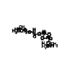 CNC(C)(C)CCOCCOCCNC(=O)c1ccc(-n2nnc3c2-c2ccccc2CN(C(=O)CCC(C)(C)NC)c2ccccc2-3)cc1